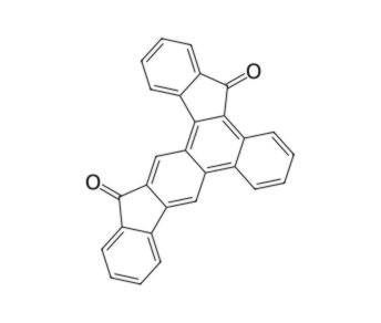 O=c1c2ccccc2c2cc3c4ccccc4c4c(=O)c5ccccc5c4c3cc12